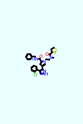 CN(CCn1cc(-c2n[nH]cc2-c2ccccc2Cl)cc1C(=O)NCc1ccccc1)C(=O)C1CCSS1